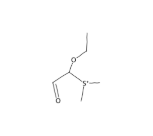 CCOC(C=O)[S+](C)C